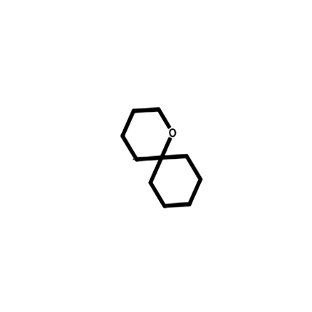 [CH]1CCCOC12CCCCC2